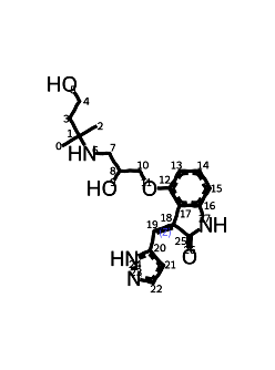 CC(C)(CCO)NCC(O)COc1cccc2c1/C(=C/c1ccn[nH]1)C(=O)N2